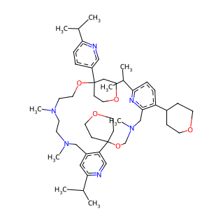 CC(C)c1ccc(C2(OCCN(C)CCN(C)Cc3cc(C(C)C)ncc3C3(OCN(C)Cc4nc(C(C)C)ccc4C4CCOCC4)CCOCC3)CCOCC2)cn1